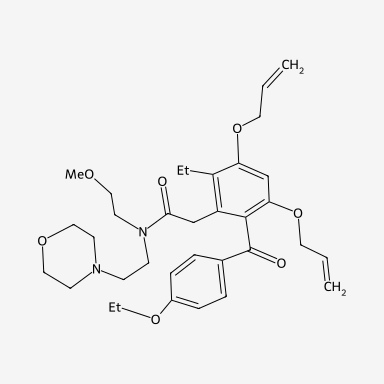 C=CCOc1cc(OCC=C)c(C(=O)c2ccc(OCC)cc2)c(CC(=O)N(CCOC)CCN2CCOCC2)c1CC